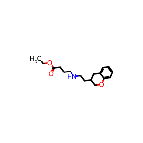 CCOC(=O)CCCNCCC1COc2ccccc2C1